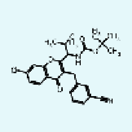 CC(C)C(NC(=O)OC(C)(C)C)c1oc2cc(Cl)ccc2c(=O)c1Cc1cccc(C#N)c1